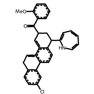 COc1ccccc1C(=O)C1C=c2c(ccc3c2=CCc2ccc(Cl)cc2-3)C(C2=CC=CC=CN2)C1